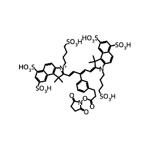 CC1(C)C(/C=C/C(=C/C=C2/N(CCCCS(=O)(=O)O)c3ccc4c(S(=O)(=O)O)cc(S(=O)(=O)O)cc4c3C2(C)C)c2cccc(CCC(=O)ON3C(=O)CCC3=O)c2)=[N+](CCCCS(=O)(=O)O)c2ccc3c(S(=O)(=O)O)cc(S(=O)(=O)O)cc3c21